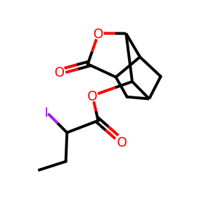 CCC(I)C(=O)OC1C2CC3C(=O)OC1C3C2